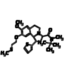 COc1cc2c(cc1OCCSC)C1C(c3cccs3)CC(C(=O)N(C)C(C)(C)C)N1CC2